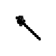 CCCCCCCCC=CCCCCCCCC(=O)c1c(Cl)ccc(C(=O)O)c1Cl